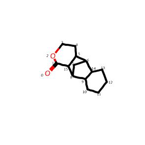 O=C1OCCC2C3CC(C4CCCCC34)C12